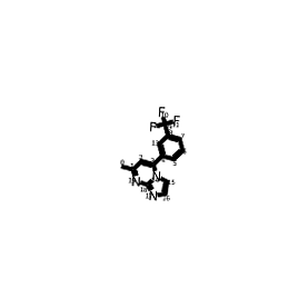 Cc1cc(-c2cccc(C(F)(F)F)c2)n2ccnc2n1